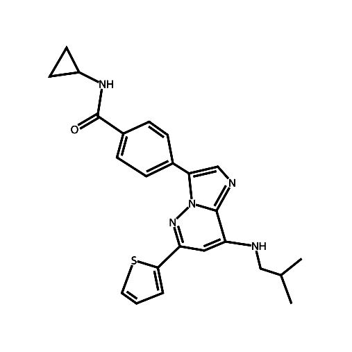 CC(C)CNc1cc(-c2cccs2)nn2c(-c3ccc(C(=O)NC4CC4)cc3)cnc12